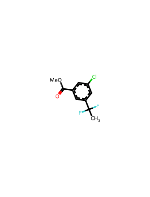 COC(=O)c1cc(Cl)cc(C(C)(F)F)c1